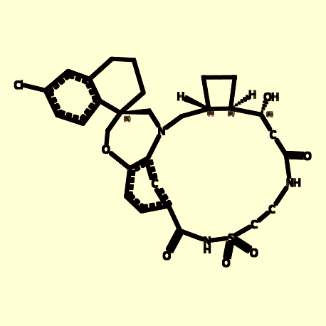 O=C1C[C@@H](O)[C@@H]2CC[C@H]2CN2C[C@@]3(CCCc4cc(Cl)ccc43)COc3ccc(cc32)C(=O)NS(=O)(=O)CCN1